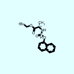 C[C@H](N[PH](=O)Oc1cccc2ccccc12)C(=O)OCC(C)(C)C